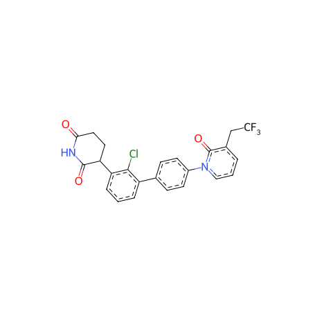 O=C1CCC(c2cccc(-c3ccc(-n4cccc(CC(F)(F)F)c4=O)cc3)c2Cl)C(=O)N1